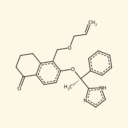 C=CCOCc1c(O[C@@](C)(c2ccccc2)c2ncc[nH]2)ccc2c1CCCC2=O